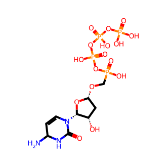 NC1C=CN([C@@H]2O[C@H](OCP(=O)(O)OP(=O)(O)OP(=O)(O)OP(=O)(O)O)C[C@@H]2O)C(=O)N1